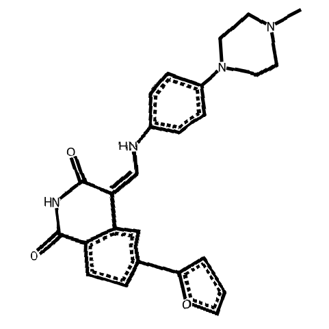 CN1CCN(c2ccc(NC=C3C(=O)NC(=O)c4ccc(-c5ccco5)cc43)cc2)CC1